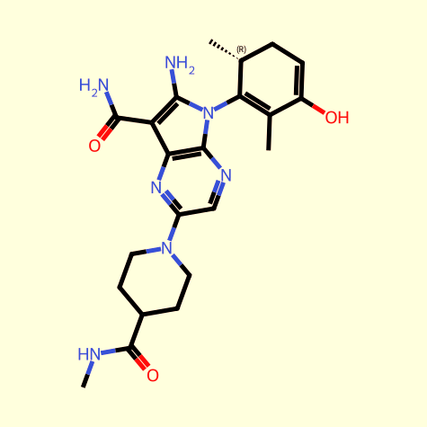 CNC(=O)C1CCN(c2cnc3c(n2)c(C(N)=O)c(N)n3C2=C(C)C(O)=CC[C@H]2C)CC1